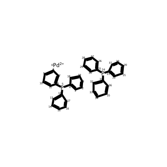 [Pd+2].c1ccc(P(c2ccccc2)c2ccccc2)cc1.c1ccc(P(c2ccccc2)c2ccccc2)cc1